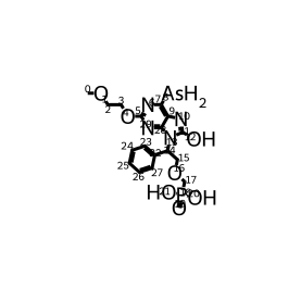 COCCOc1nc([AsH2])c2nc(O)n(C(COCP(=O)(O)O)c3ccccc3)c2n1